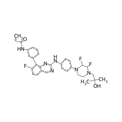 C=CC(=O)Nc1cccc(-c2c(F)ccc3cnc(Nc4ccc(N5CCN(CC(C)(C)O)C(F)C5F)cc4)nc23)c1